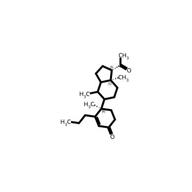 CCCC1=CC(=O)CC[C@]1(C)C1CC[C@@]2(C)C(CC[C@@H]2C(C)=O)C1C